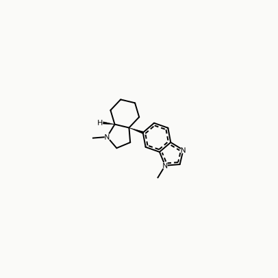 CN1CC[C@@]2(c3ccc4ncn(C)c4c3)CCCC[C@@H]12